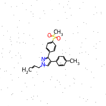 C=CCn1cc(-c2ccc(C)cc2)c(-c2ccc(S(C)(=O)=O)cc2)n1